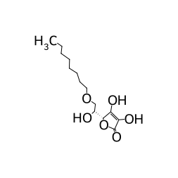 CCCCCCCCOCC(O)[C@H]1OC(=O)C(O)=C1O